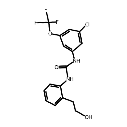 O=C(Nc1cc(Cl)cc(OC(F)(F)F)c1)Nc1ccccc1CCO